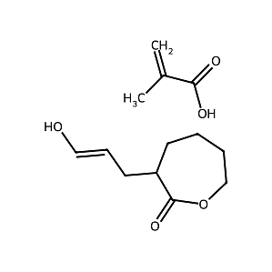 C=C(C)C(=O)O.O=C1OCCCCC1CC=CO